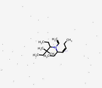 C=CN(C(/C=C\CC)CC)C(CC)C(C)(C)CC